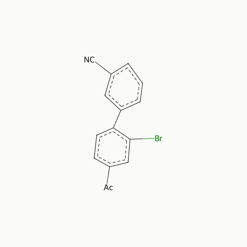 CC(=O)c1ccc(-c2cccc(C#N)c2)c(Br)c1